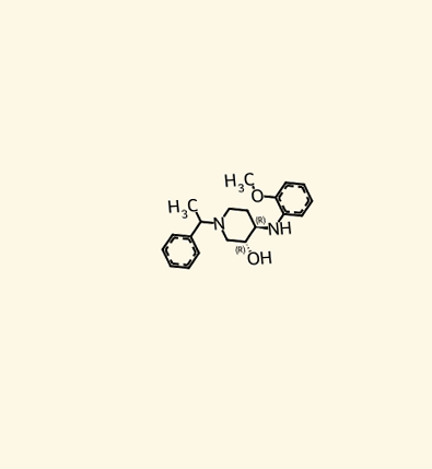 COc1ccccc1N[C@@H]1CCN(C(C)c2ccccc2)C[C@H]1O